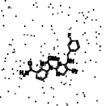 COc1nc2c(C(N)=O)cccc2n1-c1ncc(C(C)C)c(NCc2cccc(F)c2)n1